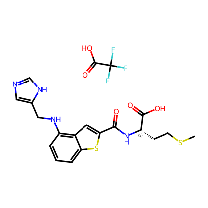 CSCC[C@H](NC(=O)c1cc2c(NCc3cnc[nH]3)cccc2s1)C(=O)O.O=C(O)C(F)(F)F